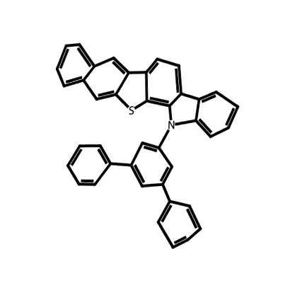 c1ccc(-c2cc(-c3ccccc3)cc(-n3c4ccccc4c4ccc5c6cc7ccccc7cc6sc5c43)c2)cc1